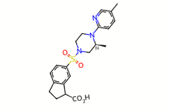 Cc1ccc(N2CCN(S(=O)(=O)c3ccc4c(c3)C(C(=O)O)CC4)C[C@@H]2C)nc1